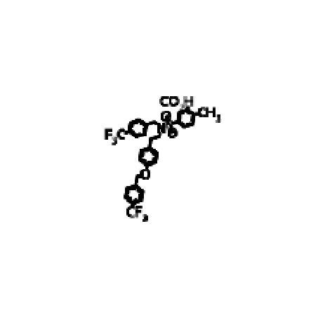 Cc1ccc(S(=O)(=O)N(CCc2ccc(OCc3ccc(C(F)(F)F)cc3)cc2)Cc2ccc(C(F)(F)F)cc2)cc1C(=O)O